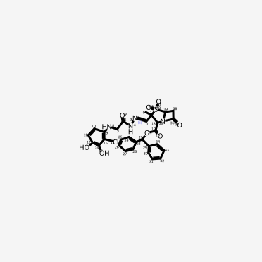 CC1(/C=N/NC(=O)CNc2ccc(O)c(O)c2Cl)C(C(=O)OC(c2ccccc2)c2ccccc2)N2C(=O)CC2S1(=O)=O